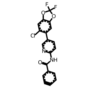 O=C(Nc1ccc(-c2cc3c(cc2Cl)OC(F)(F)O3)cn1)c1cc#ccc1